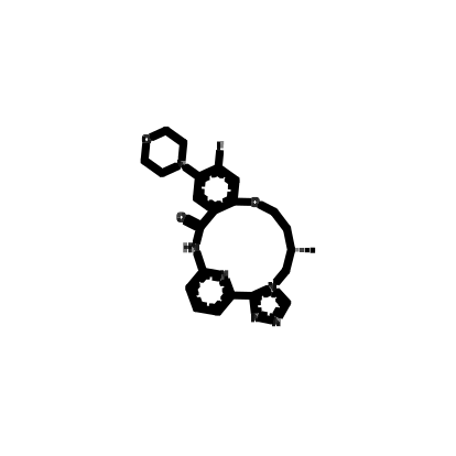 C[C@H]1CCOc2cc(F)c(N3CCOCC3)cc2C(=O)Nc2cccc(n2)-c2nncn2C1